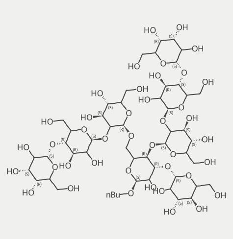 CCCCO[C@H]1OC(CO[C@@H]2OC(CO)[C@@H](O)[C@H](O)C2O[C@@H]2OC(CO)[C@@H](O[C@@H]3OC(CO)[C@H](O)[C@H](O)C3O)[C@H](O)C2O)[C@@H](O[C@@H]2OC(CO)[C@@H](O)[C@H](O)C2O[C@@H]2OC(CO)[C@@H](O[C@@H]3OC(CO)[C@H](O)[C@H](O)C3O)[C@H](O)C2O)[C@H](O[C@@H]2OC(CO)[C@@H](O)[C@H](O)C2O)C1O